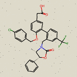 C[C@H]1[C@@H](c2ccccc2)OC(=O)N1Cc1cc(C(F)(F)F)ccc1-c1cc(CC(=O)O)ccc1OCc1ccc(Cl)cc1